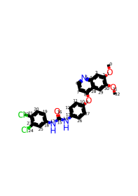 COc1cc2nccc(Oc3ccc(NC(=O)Nc4ccc(Cl)c(Cl)c4)cc3)c2cc1OC